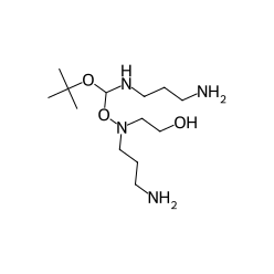 CC(C)(C)OC(NCCCN)ON(CCO)CCCN